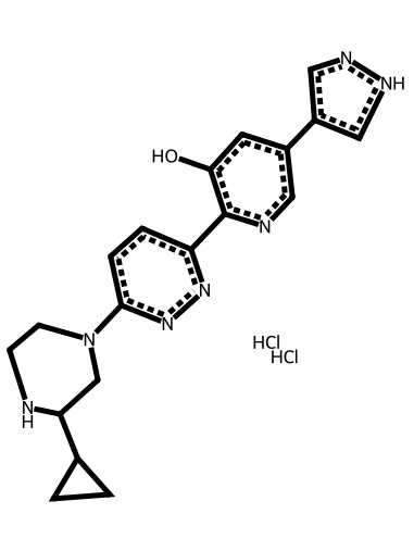 Cl.Cl.Oc1cc(-c2cn[nH]c2)cnc1-c1ccc(N2CCNC(C3CC3)C2)nn1